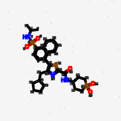 CC(C)NS(=O)(=O)c1ccc(-c2sc(C(=O)NC3CCS(=O)(=O)CC3)nc2CC2CCCC2)c2ccccc12